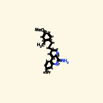 CCCc1ccc2c(c1)nc(N)c1ncc(CCc3ccc(OC)cc3C)cc12